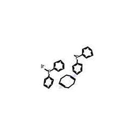 C1=C\CC/C=C\CC/1.CP(c1ccccc1)c1ccccc1.CP(c1ccccc1)c1ccccc1.[Ir]